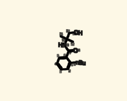 CCCCc1ccccc1C(=O)NC(C)(C)CO